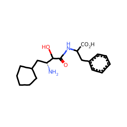 N[C@H](CC1CCCCC1)C(O)C(=O)NC(Cc1ccccc1)C(=O)O